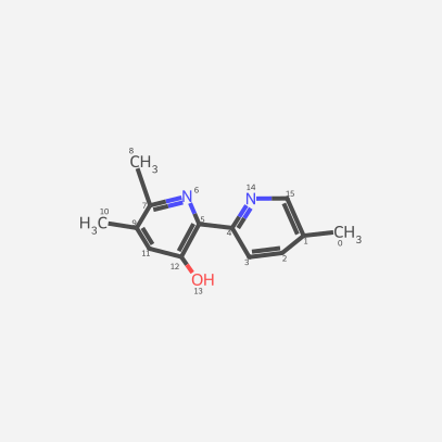 Cc1ccc(-c2nc(C)c(C)cc2O)nc1